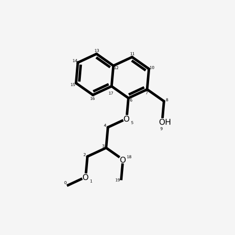 COCC(COc1c(CO)ccc2ccccc12)OC